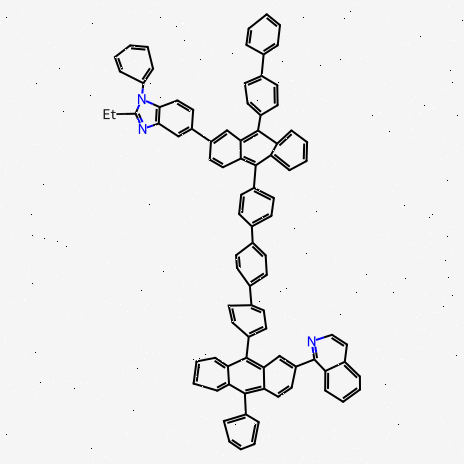 CCc1nc2cc(-c3ccc4c(-c5ccc(-c6ccc(-c7ccc(-c8c9ccccc9c(-c9ccccc9)c9ccc(-c%10nccc%11ccccc%10%11)cc89)cc7)cc6)cc5)c5ccccc5c(-c5ccc(-c6ccccc6)cc5)c4c3)ccc2n1-c1ccccc1